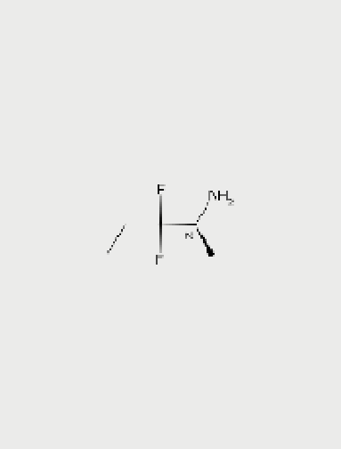 CCC(F)(F)[C@H](C)N